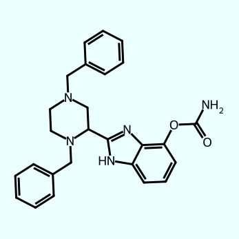 NC(=O)Oc1cccc2[nH]c(C3CN(Cc4ccccc4)CCN3Cc3ccccc3)nc12